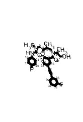 CC(CO)N1C[C@H](C)[C@H](CN(C)C(=O)Nc2ccc(F)cc2)Oc2ncc(C#Cc3cccc(F)c3)cc2C1=O